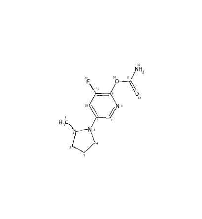 CC1CCCN1c1cnc(OC(N)=O)c(F)c1